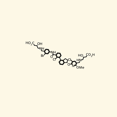 COc1nc(O[C@H]2CCc3c(-c4cccc(C(=O)Nc5ccc(CNC[C@@H](O)CC(=O)O)c(Br)c5)c4Cl)cccc32)c(Cl)cc1CNC[C@@H](O)CC(=O)O